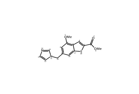 COC(=O)c1cc2c(OC)cc(Cn3ccnc3)cc2s1